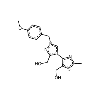 COc1ccc(Cn2cc(-c3nc(C)sc3CO)c(CO)n2)cc1